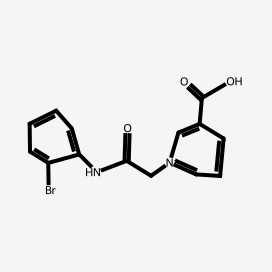 O=C(C[n+]1cccc(C(=O)O)c1)Nc1ccccc1Br